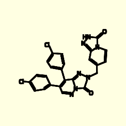 O=c1[nH]nc2cc(Cn3nc4c(-c5ccc(Cl)cc5)c(-c5ccc(Cl)cc5)cnn4c3=O)ccn12